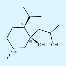 CC(O)C[C@]1(O)C[C@H](C)CC[C@H]1C(C)C